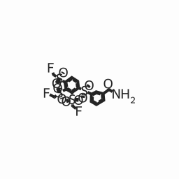 NC(=O)c1cccc(S(=O)(=O)c2ccc(S(=O)(=O)CF)c(S(=O)(=O)CF)c2S(=O)(=O)CF)c1